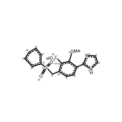 COc1c(-c2ncc[nH]2)ccc(CS(=O)(=O)c2ccccc2)c1C(=O)O